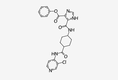 O=C(Oc1ccccc1)c1nc[nH]c1C(=O)NC1CCC(C(=O)Nc2ccncc2Cl)CC1